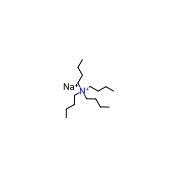 CCCC[N+](CCCC)(CCCC)CCCC.[Na+]